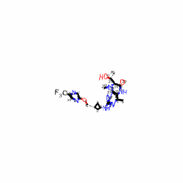 Cc1nc(N[C@H]2C[C@@H](COc3cnc(C(F)(F)F)cn3)C2)nc2c1NC(=O)[C@H]([C@@H](C)O)N2C